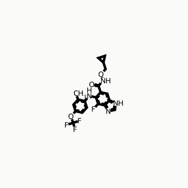 Cc1cc(OC(F)(F)F)ccc1Nc1c(C(=O)NOCC2CC2)cc2[nH]cnc2c1F